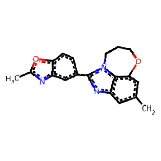 Cc1cc2c3c(c1)nc(-c1ccc4oc(C)nc4c1)n3CCCO2